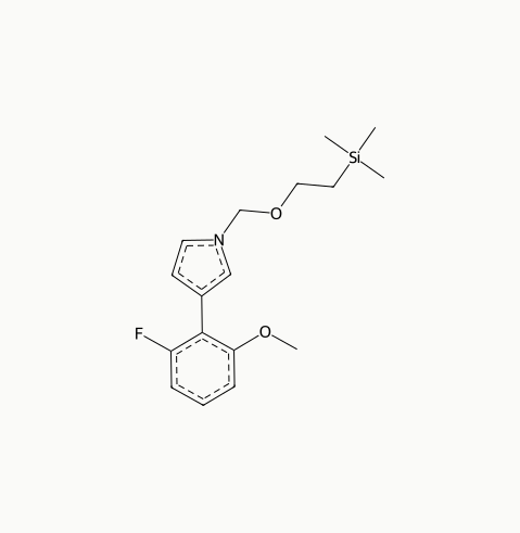 COc1cccc(F)c1-c1ccn(COCC[Si](C)(C)C)c1